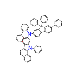 c1ccc(-c2ccc3c(c2)C(c2ccccc2)(c2ccccc2)c2cc(N(c4ccc5c6ccc7ccccc7c6n(-c6ccccc6)c5c4)c4ccccc4-c4ccccc4)ccc2-3)cc1